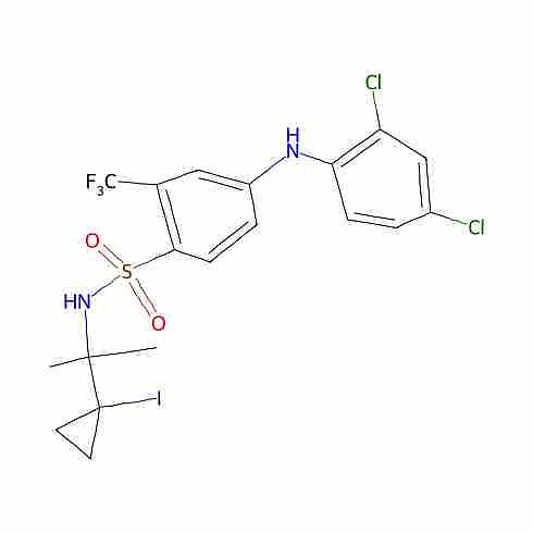 CC(C)(NS(=O)(=O)c1ccc(Nc2ccc(Cl)cc2Cl)cc1C(F)(F)F)C1(I)CC1